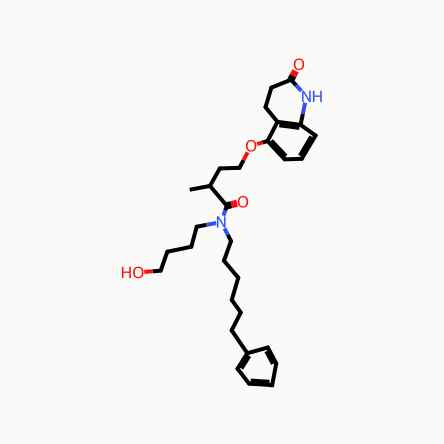 CC(CCOc1cccc2c1CCC(=O)N2)C(=O)N(CCCCO)CCCCCCc1ccccc1